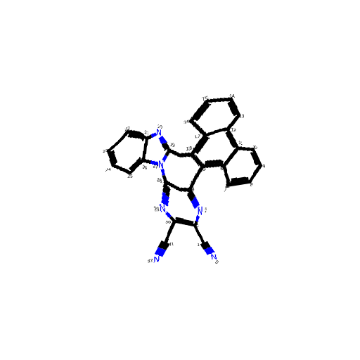 N#Cc1nc2c3c4ccccc4c4ccccc4c3c3nc4ccccc4n3c2nc1C#N